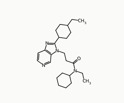 CCC1CCC(c2nc3ccncc3n2CCC(=O)N(CC)C2CCCCC2)CC1